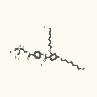 CCCCCCCCOc1ccc(C(=O)Nc2ccc(C(=O)OCC[N+](C)(CC)CC)cc2)c(OCCCCCCCC)c1.[Br-]